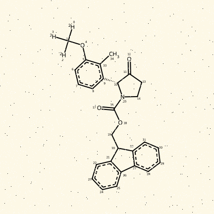 [2H]C([2H])([2H])Oc1cccc([C@@H]2C(=O)CCN2C(=O)OCC2c3ccccc3-c3ccccc32)c1C